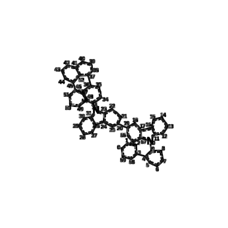 c1ccc(-c2ccccc2-n2c3ccccc3c3cc(-c4ccc5c(c4)c4ccccc4n5-c4ccc(-c5cccc6cccc(-c7ccccc7)c56)cc4)ccc32)cc1